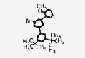 COc1ccccc1-c1cc(Br)cc(-c2cc(C(C)(C)C)cc(C(C)(C)C)c2)c1